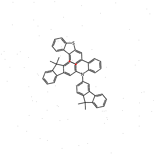 CC1(C)c2ccccc2-c2cc(N(c3ccc4c(c3)-c3ccccc3C4(C)C)c3ccccc3-c3ccc4c(c3)sc3ccccc34)ccc21